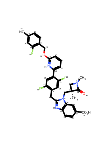 CN1C[C@](C)(Cn2c(Cc3cc(F)c(-c4cccc(OCc5ccc(C#N)cc5F)n4)cc3F)nc3ccc(C(=O)O)cc32)C1=O